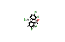 C[Si]([O-])(c1cccc(F)c1F)c1cccc(F)c1F.[Br-].[Mg+2]